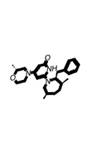 C[C@@H]1CC[C@H](C)[C@H](Cc2ccccc2)N(c2cc(N3CCO[C@H](C)C3)cc(=O)[nH]2)C1